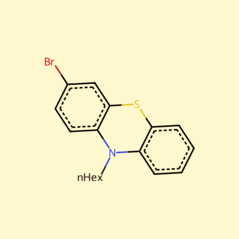 CCCCCCN1c2ccccc2Sc2cc(Br)ccc21